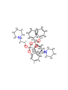 c1ccc(OC(OCCN2CCCCC2)(OC(OCCN2CCCCC2)(Oc2ccccc2)c2ccccc2)c2ccccc2)cc1